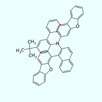 CC(C)(C)c1ccc(N(c2ccc3c(c2)oc2ccccc23)c2ccc3ccccc3c2-c2cccc3c2oc2ccccc23)c(-c2ccccc2)c1